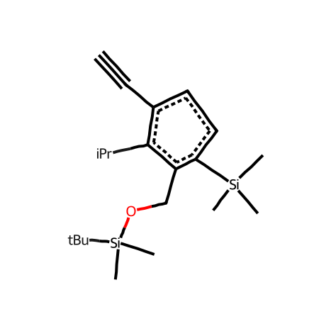 C#Cc1ccc([Si](C)(C)C)c(CO[Si](C)(C)C(C)(C)C)c1C(C)C